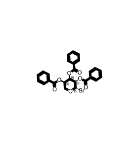 O=C(O[C@H]1[C@H](OC(=O)c2ccccc2)[C@H](OC(=O)c2ccccc2)CO[C@H]1Br)c1ccccc1